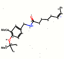 COc1cc(CNC(=O)CCCC/C=C\C(C)C)ccc1OC(C)(C)SC